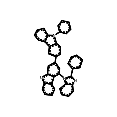 c1ccc(-c2nc3ccccc3n2-c2cc(-c3ccc4c(c3)c3ccccc3n4-c3ccccc3)cc3oc4ccccc4c23)cc1